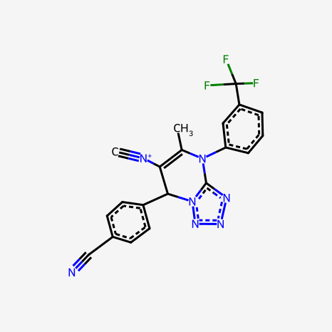 [C-]#[N+]C1=C(C)N(c2cccc(C(F)(F)F)c2)c2nnnn2C1c1ccc(C#N)cc1